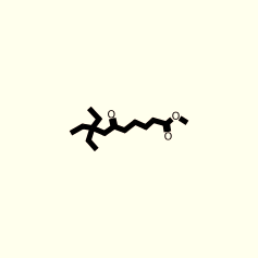 CCC(CC)(CC)CC(=O)CCCCC(=O)OC